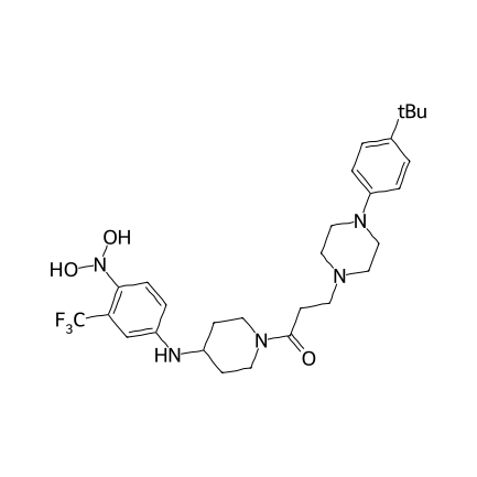 CC(C)(C)c1ccc(N2CCN(CCC(=O)N3CCC(Nc4ccc(N(O)O)c(C(F)(F)F)c4)CC3)CC2)cc1